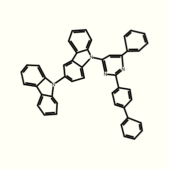 c1ccc(-c2ccc(-c3nc(-c4ccccc4)cc(-n4c5ccccc5c5cc(-n6c7ccccc7c7ccccc76)ccc54)n3)cc2)cc1